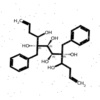 C=CCC(O)[C@](O)(Cc1ccccc1)[C@@H](O)[C@H](O)[C@@](O)(Cc1ccccc1)C(O)CC=C